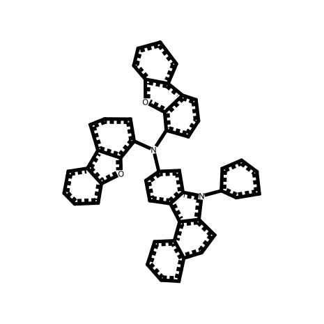 c1ccc(-n2c3cc(N(c4cccc5c4oc4ccccc45)c4cccc5c4oc4ccccc45)ccc3c3c4ccccc4ccc32)cc1